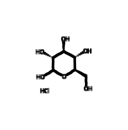 Cl.OC[C@H]1OC(O)[C@H](O)[C@@H](O)[C@@H]1O